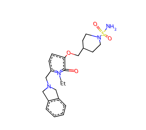 CCn1c(CN2Cc3ccccc3C2)ccc(OCC2CCN(S(N)(=O)=O)CC2)c1=O